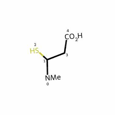 CNC(S)CC(=O)O